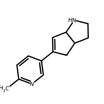 Cc1ccc(C2=CC3NCCC3C2)cn1